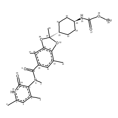 Cc1cc(C)c(N(C)C(=O)c2cc(C)c3c(c2C)OC(C)([C@H]2CC[C@H](NC(=O)OC(C)(C)C)CC2)O3)c(=O)[nH]1